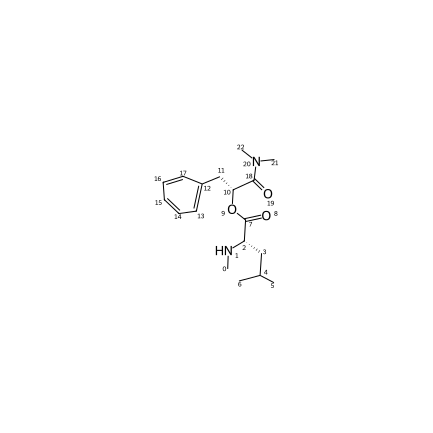 CN[C@@H](CC(C)C)C(=O)O[C@H](Cc1ccccc1)C(=O)N(C)C